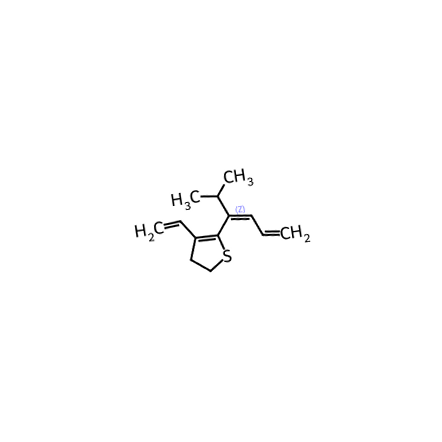 C=C/C=C(\C1=C(C=C)CCS1)C(C)C